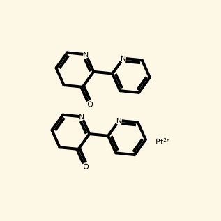 O=C1CC=CN=C1c1ccccn1.O=C1CC=CN=C1c1ccccn1.[Pt+2]